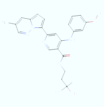 CCOc1cccc(Nc2cc(-c3ccc4cc(C#N)cnn34)ncc2C(=O)NC[C@@H](F)C(C)(C)O)c1